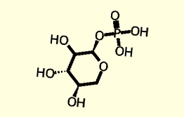 O=P(O)(O)O[C@H]1OC[C@@H](O)[C@H](O)C1O